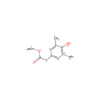 CCCCCCCCCOC(=O)Cc1cc(C)c(O)c(C(C)(C)C)c1